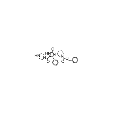 O=C(OCc1ccccc1)N1CCCC(n2c(-c3ccccc3)c(C(=O)N3CCNCC3)[nH]c2=O)C1